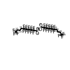 O=C(OOC(=O)C(F)(F)C(F)(F)C(F)(F)C(F)(F)C(F)(F)CCCC(F)(F)F)C(F)(F)C(F)(F)C(F)(F)C(F)(F)C(F)(F)CCCC(F)(F)F